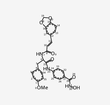 COc1ccc(CC(NC(=O)C=Cc2ccc3c(c2)OCO3)C(=O)Nc2ccc(C(=O)NO)cc2)cc1